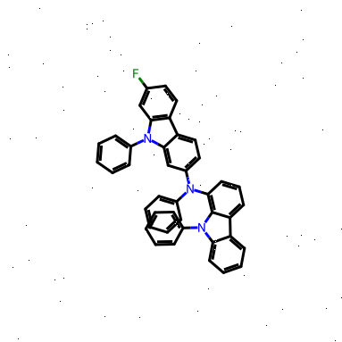 Fc1ccc2c3ccc(N(c4ccccc4)c4cccc5c6ccccc6n(-c6ccccc6)c45)cc3n(-c3ccccc3)c2c1